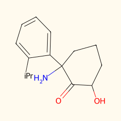 CC(C)c1ccccc1C1(N)CCCC(O)C1=O